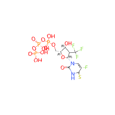 O=c1[nH]c(=S)c(F)cn1[C@@H]1O[C@H](COP(=O)(O)OP(=O)(O)OP(=O)(O)O)[C@H](O)C1C(F)(F)F